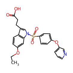 CCOc1ccc2c(CCC(=O)O)cn(S(=O)(=O)c3ccc(Oc4cccnc4)cc3)c2c1